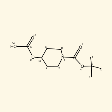 CC(C)(C)OC(=O)N1CCC(OC(=O)O)CC1